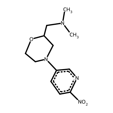 CN(C)CC1CN(c2ccc([N+](=O)[O-])nc2)CCO1